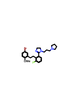 COc1ccc(Br)cc1CCc1c(F)cccc1C1=NCCN1CCCN1CCCC1